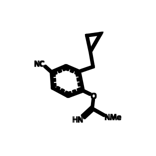 CNC(=N)Oc1ccc(C#N)cc1CC1CC1